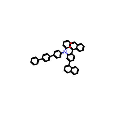 c1ccc(-c2ccc(-c3ccc(N(c4ccccc4)c4cc(-c5cccc6ccccc56)ccc4-c4cccc5ccccc45)cc3)cc2)cc1